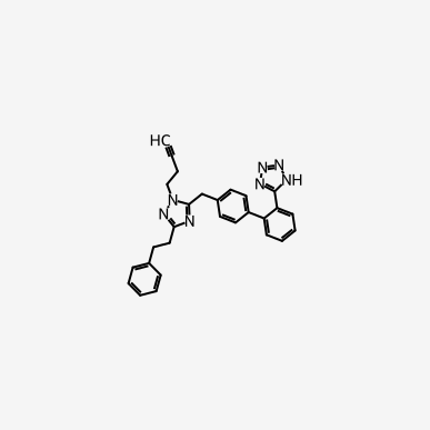 C#CCCn1nc(CCc2ccccc2)nc1Cc1ccc(-c2ccccc2-c2nnn[nH]2)cc1